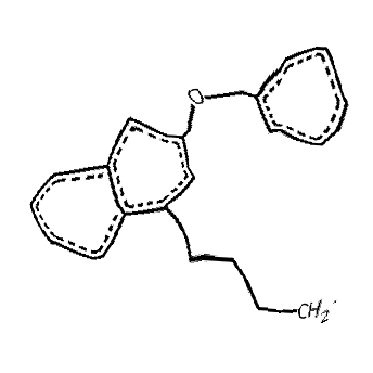 [CH2]CCCc1cc(Oc2ccccc2)cc2ccccc12